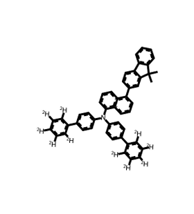 [2H]c1c([2H])c([2H])c(-c2ccc(N(c3ccc(-c4c([2H])c([2H])c([2H])c([2H])c4[2H])cc3)c3cccc4c(-c5ccc6c(c5)C(C)(C)c5ccccc5-6)cccc34)cc2)c([2H])c1[2H]